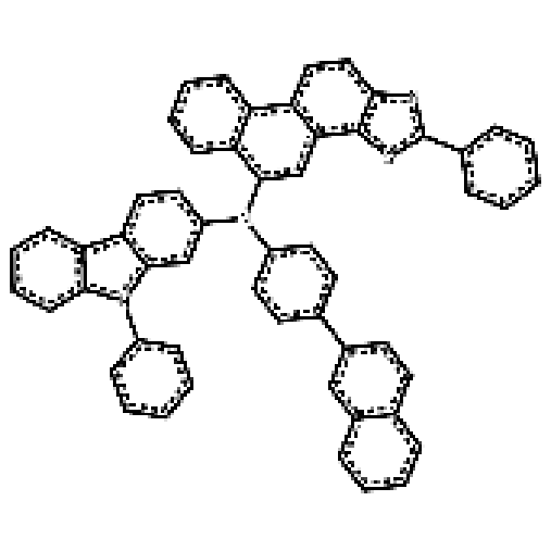 c1ccc(-c2nc3ccc4c5ccccc5c(N(c5ccc(-c6ccc7ccccc7c6)cc5)c5ccc6c7ccccc7n(-c7ccccc7)c6c5)cc4c3s2)cc1